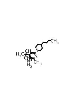 CCCCC1CCN(c2cc(C(C)(C)C)c(N)c(C)n2)CC1